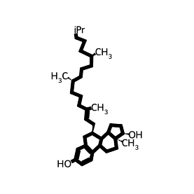 C/C(=C\C[C@@H]1Cc2cc(O)ccc2C2CC[C@@]3(C)C(CC[C@@H]3O)C21)CCC[C@H](C)CCC[C@H](C)CCCC(C)C